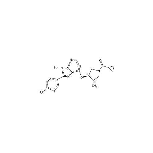 CCn1c(-c2cnc(C)nc2)nc2c(O[C@H]3CN(C(=O)C4CC4)C[C@@H]3C)ncnc21